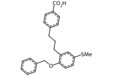 CSc1ccc(OCc2ccccc2)c(CCCc2ccc(C(=O)O)cc2)c1